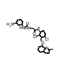 Cc1ccc2cccc(OCc3c(Cl)ccc(N(C)C(=O)CNC(=O)Nc4cccc(N)c4)c3Cl)c2n1